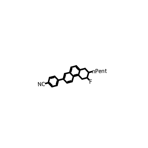 CCCCCC1Cc2ccc3cc(-c4ccc(C#N)cc4)ccc3c2CC1F